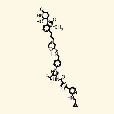 Cn1c(=O)n(C2CCC(=O)NC2O)c2cccc(CCCN3CCO[C@H](CNCc4ccc(-n5cc(NC(=O)c6coc(-c7ccnc(NCC8CC8)c7)n6)c(C(F)F)n5)cc4)C3)c21